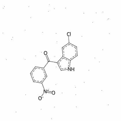 O=C(c1cccc([N+](=O)[O-])c1)c1c[nH]c2ccc(Cl)cc12